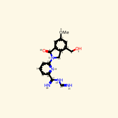 COc1cc(CO)c2c(c1)C(=O)N(c1cccc(C(=N)NC=N)n1)C2